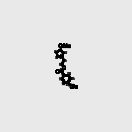 CO[C@H]1CCN(CCOC(=O)c2ccc(C(C)(C)C)cc2)C1